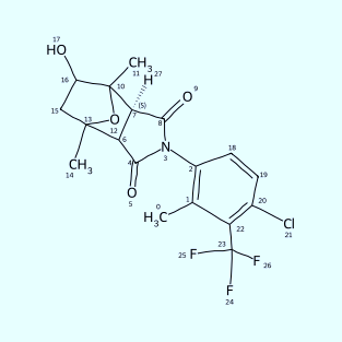 Cc1c(N2C(=O)C3[C@H](C2=O)C2(C)OC3(C)CC2O)ccc(Cl)c1C(F)(F)F